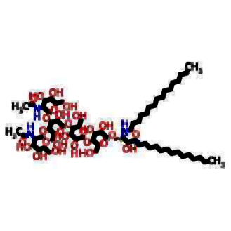 CCCCCCCCCCCCC/C=C/[C@@H](O)[C@H](CO[C@@H]1OC(CO)[C@@H](O[C@@H]2OC(CO)[C@H](O[C@@H]3OC(CO)[C@H](O[C@@H]4OC(CO)[C@H](O)[C@H](O)C4NC(C)=O)[C@H](O[C@@H]4OC(CO)[C@H](O)[C@H](O)C4NC(C)=O)C3O)[C@H](O)C2O)[C@H](O)C1O)NC(=O)CCCCCCCCCCCCCCC